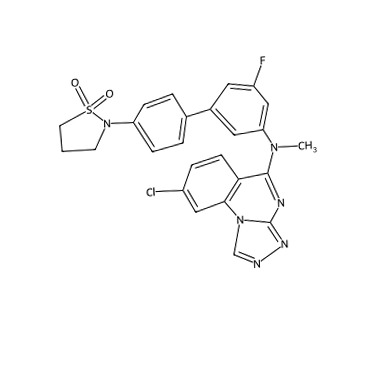 CN(c1cc(F)cc(-c2ccc(N3CCCS3(=O)=O)cc2)c1)c1nc2nncn2c2cc(Cl)ccc12